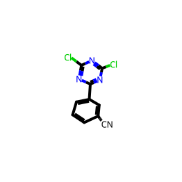 N#Cc1cccc(-c2nc(Cl)nc(Cl)n2)c1